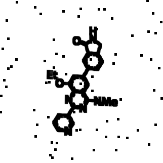 CCOc1cc(-c2ccc3c(c2)C(=O)NC3)cc2c(NC)nc(-c3cccnc3)nc12